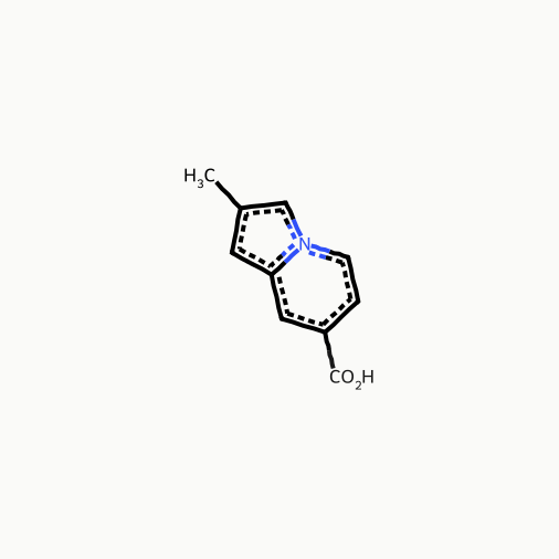 Cc1cc2cc(C(=O)O)ccn2c1